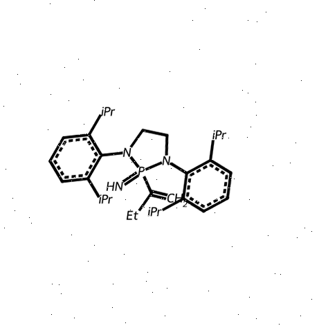 C=C(CC)P1(=N)N(c2c(C(C)C)cccc2C(C)C)CCN1c1c(C(C)C)cccc1C(C)C